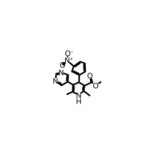 COC(=O)C1=C(C)NC(C)=C(c2cncnc2)C1c1cccc([N+](=O)[O-])c1